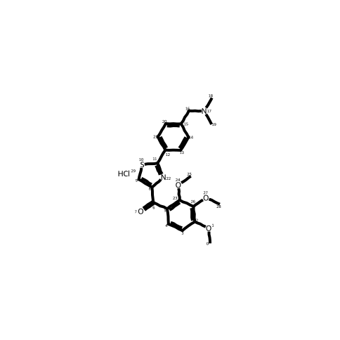 COc1ccc(C(=O)c2csc(-c3ccc(CN(C)C)cc3)n2)c(OC)c1OC.Cl